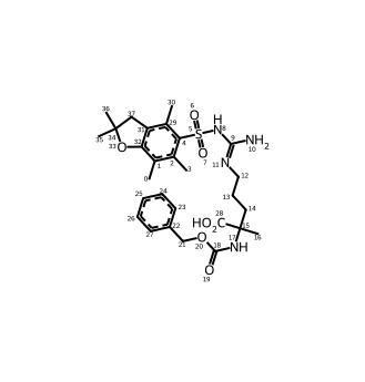 Cc1c(C)c(S(=O)(=O)NC(N)=NCCCC(C)(NC(=O)OCc2ccccc2)C(=O)O)c(C)c2c1OC(C)(C)C2